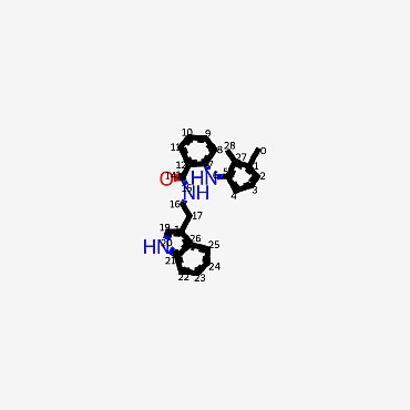 Cc1cccc(Nc2ccccc2C(=O)NCCc2c[nH]c3ccccc23)c1C